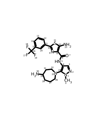 Cn1ncc(NC(=O)c2nc(-c3cccc(C(F)(F)F)c3)sc2N)c1N1CCCC(N)CC1